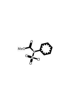 COC(=O)N(c1ccccc1)S(=O)(=O)Cl